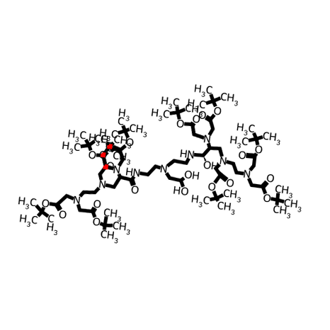 CC(C)(C)OC(=O)CN(CCN(CC(=O)OC(C)(C)C)CC(C(=O)NCCN(CCN[C@@H](O)C(CN(CCN(CC(=O)OC(C)(C)C)CC(=O)OC(C)(C)C)CC(=O)OC(C)(C)C)N(CC(=O)OC(C)(C)C)CC(=O)OC(C)(C)C)CC(O)O)N(CC(=O)OC(C)(C)C)CC(=O)OC(C)(C)C)CC(=O)OC(C)(C)C